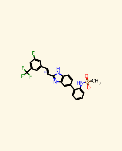 CS(=O)(=O)Nc1ccccc1-c1ccc2[nH]c(/C=C/c3cc(F)cc(C(F)(F)F)c3)nc2c1